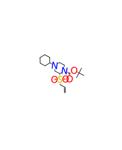 C=CCS(=O)(=O)C1CN(C2CCCCC2)CCN1C(=O)OC(C)(C)C